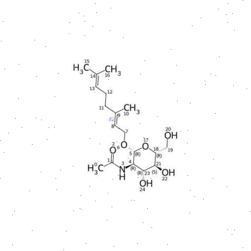 CC(=O)N[C@H]1[C@H](OC/C=C(\C)CCC=C(C)C)O[C@H](CO)[C@@H](O)[C@@H]1O